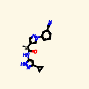 C[C@@H](C(=O)Nc1cc(C2CC2)n[nH]1)c1cnn(-c2cccc(C#N)c2)c1